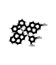 CC(C)(C)c1cc(N2c3cc4ccc5cccc6ccc(c3B3c7c(c8ccc9cc(C(C)(C)C)cc%10ccc(c72)c8c9%10)-c2cccc7c8ccccc8n3c27)c4c56)cc(C(C)(C)C)c1